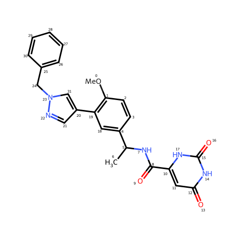 COc1ccc(C(C)NC(=O)c2cc(=O)[nH]c(=O)[nH]2)cc1-c1cnn(Cc2ccccc2)c1